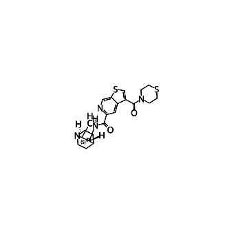 C[C@H]1[C@H](NC(=O)c2cc3c(C(=O)N4CCSCC4)csc3cn2)C2CCN1CC2